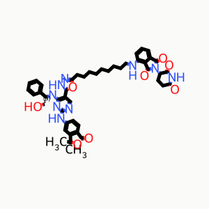 CC1(C)OC(=O)c2ccc(Nc3ncc(-c4nnc(CCCCCCCCCNc5cccc6c5C(=O)N(C5CCC(=O)NC5=O)C6=O)o4)c(N[C@H](CO)c4ccccc4)n3)cc21